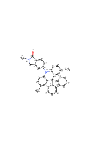 Cc1ccc2c(c1)C(c1ccccc1)(c1ccccc1)c1cc(C)ccc1N2c1ccc2c(c1)CN(C)C2=O